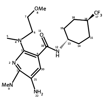 CNc1nc(N(C)CCOC)c(C(=O)N[C@H]2CC[C@H](C(F)(F)F)CC2)cc1N